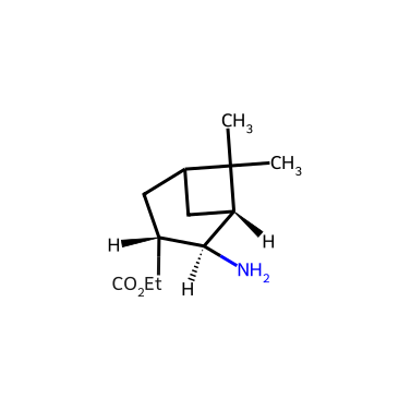 CCOC(=O)[C@@H]1CC2C[C@@H]([C@H]1N)C2(C)C